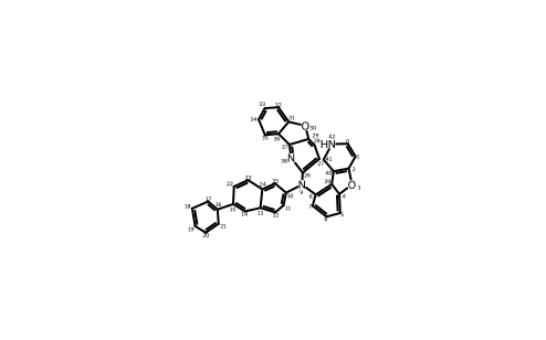 C1=Cc2oc3cccc(N(c4ccc5cc(-c6ccccc6)ccc5c4)c4ccc5oc6ccccc6c5n4)c3c2CN1